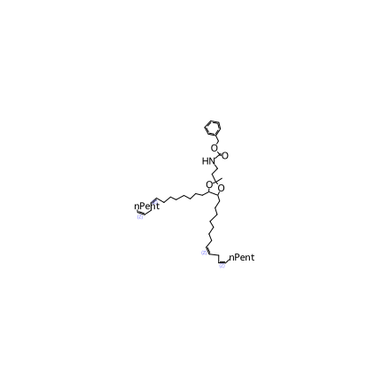 CCCCC/C=C\C/C=C\CCCCCCCC1OC(C)(CCNC(=O)OCc2ccccc2)OC1CCCCCCC/C=C\C/C=C\CCCCC